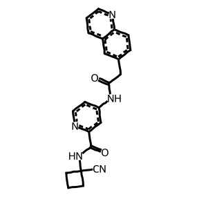 N#CC1(NC(=O)c2cc(NC(=O)Cc3ccc4ncccc4c3)ccn2)CCC1